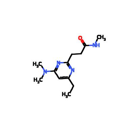 CCc1cc(N(C)C)nc(CCC(=O)NC)n1